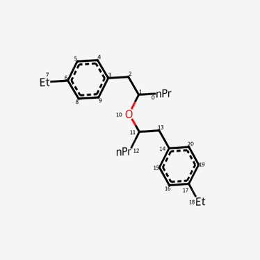 CCCC(Cc1ccc(CC)cc1)OC(CCC)Cc1ccc(CC)cc1